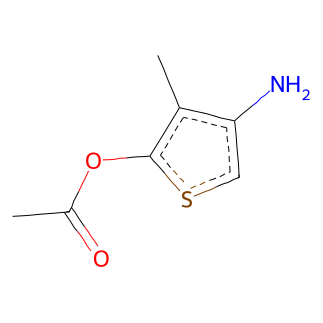 CC(=O)Oc1scc(N)c1C